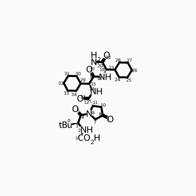 CC(C)(C)[C@H](NC(=O)O)C(=O)N1CC(=O)C[C@H]1C(=O)N[C@H](C(=O)N[C@H](C(N)=O)C1CCCCC1)C1CCCCC1